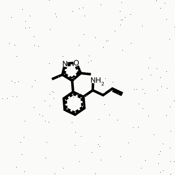 C=CCC(N)c1ccccc1-c1c(C)noc1C